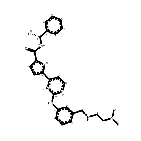 CN(C)CCNCc1cccc(Nc2nccc(-c3ccc(C(=O)N[C@H](S)c4ccccc4)s3)n2)c1